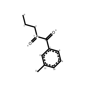 CCC[P](=O)C(=O)c1cccc(C)c1